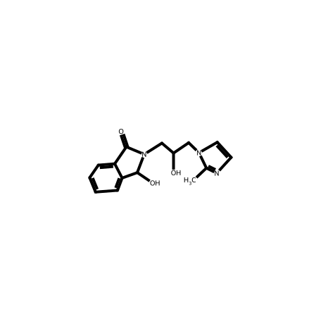 Cc1nccn1CC(O)CN1C(=O)c2ccccc2C1O